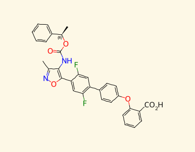 Cc1noc(-c2cc(F)c(-c3ccc(Oc4ccccc4C(=O)O)cc3)cc2F)c1NC(=O)O[C@H](C)c1ccccc1